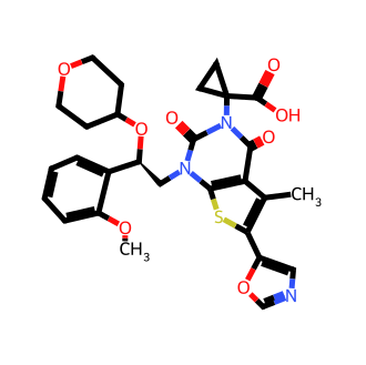 COc1ccccc1[C@H](Cn1c(=O)n(C2(C(=O)O)CC2)c(=O)c2c(C)c(-c3cnco3)sc21)OC1CCOCC1